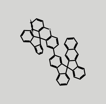 c1ccc2c(c1)-c1ccc(-c3ccc4c(c3)C3(c5ccccc5-c5ccccc53)c3c(ccc5ccccc35)O4)cc1C21c2ccccc2-c2cc3ccccc3cc21